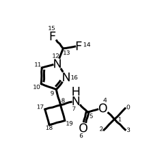 CC(C)(C)OC(=O)NC1(c2ccn(C(F)F)n2)CCC1